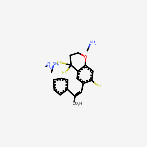 CN.CN.CN.O=C(O)C(=Cc1cc2c(cc1S)OCCC2(S)S)c1ccccc1